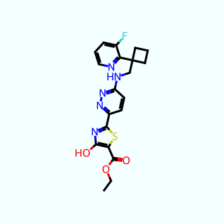 CCOC(=O)c1sc(-c2ccc(NCC3(c4ncccc4F)CCC3)nn2)nc1O